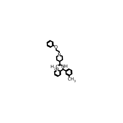 C=C(NC(c1cccc(C)c1)c1ccccn1)C1CCN(CCOc2ccccc2)CC1